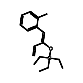 C=C/C(=C\c1ccccc1C)O[Si](CC)(CC)CC